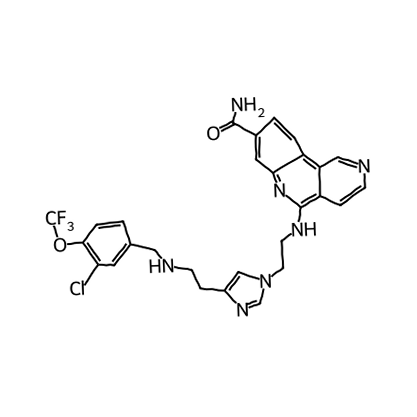 NC(=O)c1ccc2c(c1)nc(NCCn1cnc(CCNCc3ccc(OC(F)(F)F)c(Cl)c3)c1)c1ccncc12